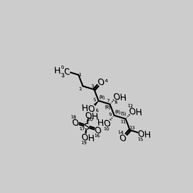 CCCC(=O)[C@H](O)[C@H](O)[C@@H](O)[C@H](O)C(=O)O.O=S(=O)(O)O